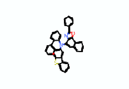 c1ccc(-c2nc3c(N(c4ccc5sc6ccccc6c5c4)c4ccccc4-c4ccccc4)cc4ccccc4c3o2)cc1